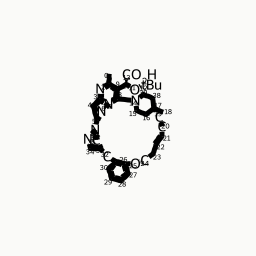 Cc1nc2cc3nn2c(c1[C@H](OC(C)(C)C)C(=O)O)N1CCC(C)(CC/C=C/CCOc2ccccc2Cc2cnn-3c2)CC1